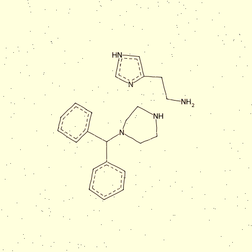 NCCc1c[nH]cn1.c1ccc(C(c2ccccc2)N2CCNCC2)cc1